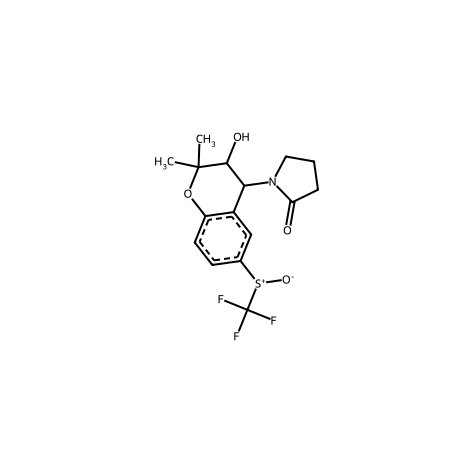 CC1(C)Oc2ccc([S+]([O-])C(F)(F)F)cc2C(N2CCCC2=O)C1O